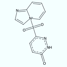 O=c1ccc(S(=O)(=O)[N+]23C=CC=CC2=NC=C3)n[nH]1